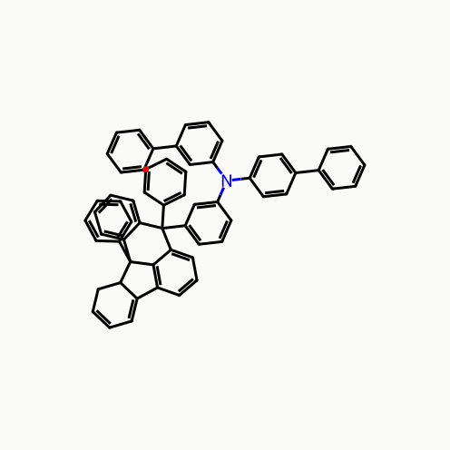 C1=CCC2C(=C1)c1cccc3c1C2(c1ccccc1)c1ccccc1C3(c1ccccc1)c1cccc(N(c2ccc(-c3ccccc3)cc2)c2cccc(-c3ccccc3)c2)c1